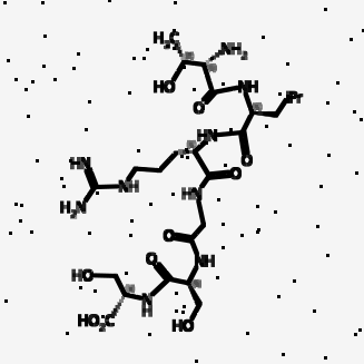 CC(C)C[C@H](NC(=O)[C@@H](N)[C@@H](C)O)C(=O)N[C@@H](CCCNC(=N)N)C(=O)NCC(=O)N[C@@H](CO)C(=O)N[C@@H](CO)C(=O)O